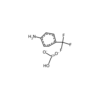 Nc1ccc(C(F)(F)F)cc1.[O-][I+2]([O-])O